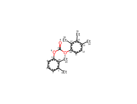 CCc1cccc(OC(=O)Oc2ccc(CC)c(CC)c2CC)c1CC